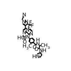 Cc1cc(Nc2nccn3c(-c4cn(CC#N)nc4C(F)(F)F)cnc23)ccc1C(=O)NC(C)C(=O)N[C@@H]1CCNC1.O=CO